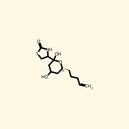 C=CCCC[C@@H]1CC(O)CC(O)(C2CSC(=O)N2)O1